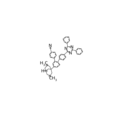 C[C@@H]1C[C@@H]2C[C@H](C)CC(c3ccc(-c4ccc(-c5nc(-c6ccccc6)nc(-c6ccccc6)n5)cc4)c(-c4ccc(C#N)cc4)c3)(C1)C2